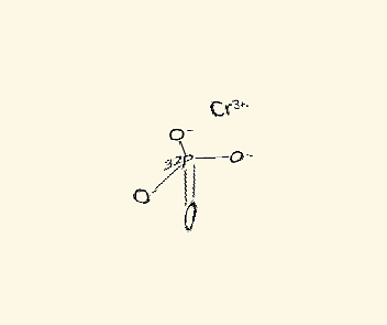 O=[32P]([O-])([O-])[O-].[Cr+3]